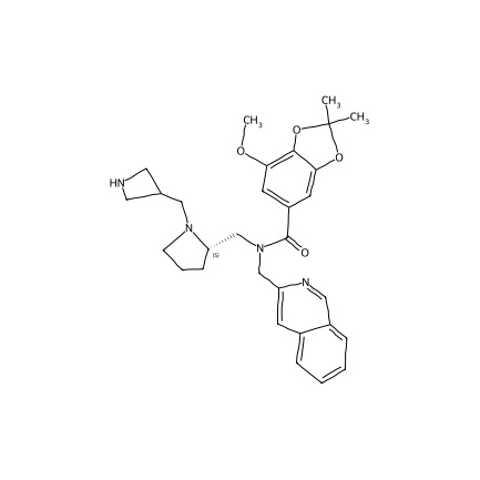 COc1cc(C(=O)N(Cc2cc3ccccc3cn2)C[C@@H]2CCCN2CC2CNC2)cc2c1OC(C)(C)O2